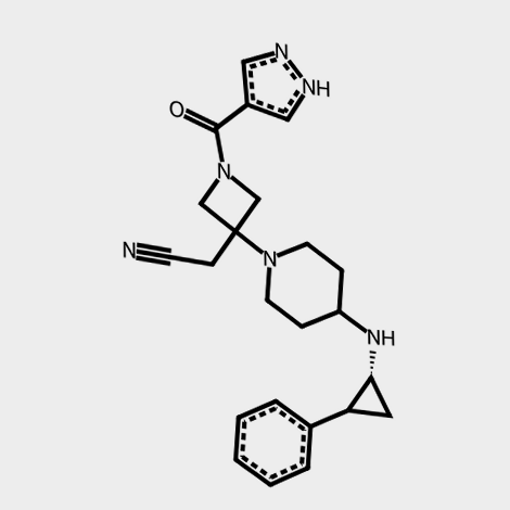 N#CCC1(N2CCC(N[C@@H]3CC3c3ccccc3)CC2)CN(C(=O)c2cn[nH]c2)C1